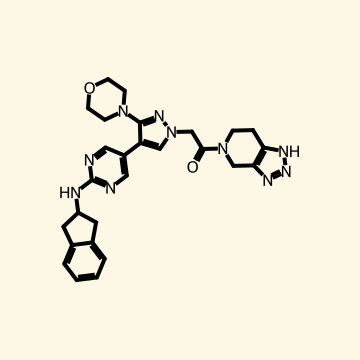 O=C(Cn1cc(-c2cnc(NC3Cc4ccccc4C3)nc2)c(N2CCOCC2)n1)N1CCc2[nH]nnc2C1